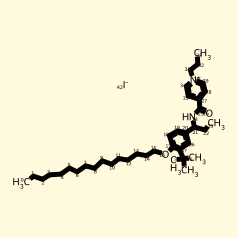 CCCCCCCCCCCCCCCCOc1ccc(C(CC)NC(=O)c2cc[n+](CCC)cc2)cc1C(C)(C)C.[I-]